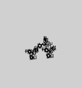 CC(C)(C)C(O)(CCc1ccc(Cl)cc1)Cn1cncn1.Fc1ccc([C@@]2(Cn3cncn3)O[C@@H]2c2ccccc2Cl)cc1.Fc1ccc([C@]2(Cn3cncn3)O[C@H]2c2ccccc2Cl)cc1